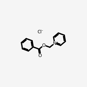 O=C(OC[n+]1ccccc1)c1ccccc1.[Cl-]